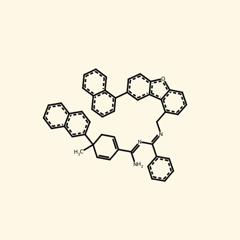 CC1(c2ccc3ccccc3c2)C=CC(/C(N)=N/C(=N\Cc2cccc3oc4ccc(-c5cccc6ccccc56)cc4c23)c2ccccc2)=CC1